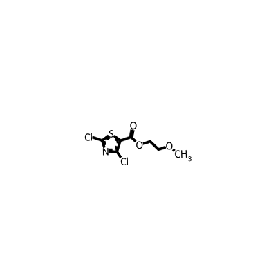 COCCOC(=O)c1sc(Cl)nc1Cl